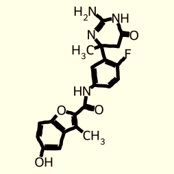 Cc1c(C(=O)Nc2ccc(F)c(C3(C)CC(=O)NC(N)=N3)c2)oc2ccc(O)cc12